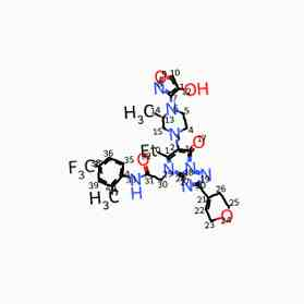 CCc1c(N2CCN(c3nocc3O)[C@H](C)C2)c(=O)n2nc(C3=CCOCC3)nc2n1CC(=O)Nc1ccc(C(F)(F)F)cc1C